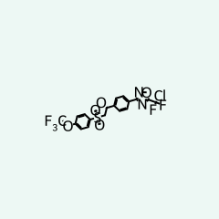 O=C(CS(=O)(=O)c1ccc(OC(F)(F)F)cc1)c1ccc(-c2noc(C(F)(F)Cl)n2)cc1